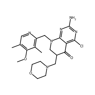 COc1c(C)cnc(CN2CC(CN3CCOCC3)C(=O)c3c(Cl)nc(N)nc32)c1C